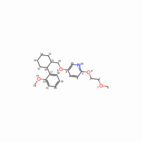 COCCOc1ccc(OCC2CCCCC2c2ccccc2OC)cn1